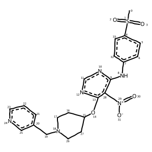 CS(=O)(=O)c1ccc(Nc2ncnc(OC3CCN(Cc4cccnc4)CC3)c2[N+](=O)[O-])cc1